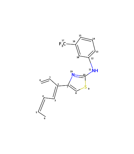 C=C/C(=C\C=C/C)c1csc(Nc2cccc(C(F)(F)F)c2)n1